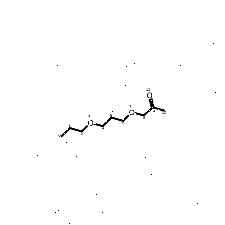 CCCOCCCOCC(C)=O